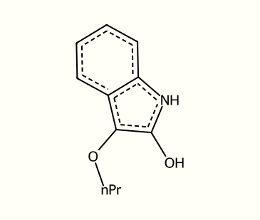 [CH2]CCOc1c(O)[nH]c2ccccc12